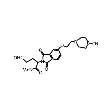 CNC(=O)C(CCC=O)N1C(=O)c2ccc(OCCN3CCB(C#N)CC3)cc2C1=O